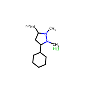 CCCCCC1CC(C2CCCCC2)N(C)N1C.Cl